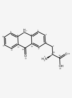 N[C@@H](Cc1ccc2[nH]c3ccccc3c(=O)c2c1)C(=O)O